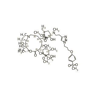 CC[C@H]1OC(=O)[C@H](C)[C@@H](C2C[C@@](C)(OC)[C@@H](O)[C@H](C)O2)[C@H](C)[C@@H](O[C@@H]2O[C@H](C)C[C@H](N(C)CCc3cn(CCCOc4ccc(S(C)(=O)=O)cc4)nn3)[C@H]2O)[C@](C)(O)C[C@@H](C)CN(C)[C@H](C)[C@@H](O)[C@]1(C)O